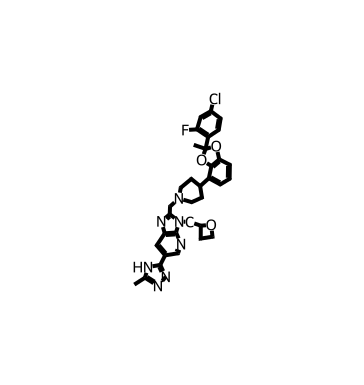 Cc1nnc(-c2cnc3c(c2)nc(CN2CCC(c4cccc5c4OC(C)(c4ccc(Cl)cc4F)O5)CC2)n3CC2CCO2)[nH]1